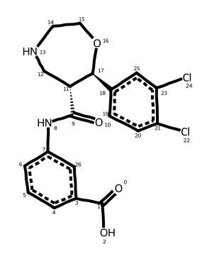 O=C(O)c1cccc(NC(=O)[C@@H]2CNCCO[C@H]2c2ccc(Cl)c(Cl)c2)c1